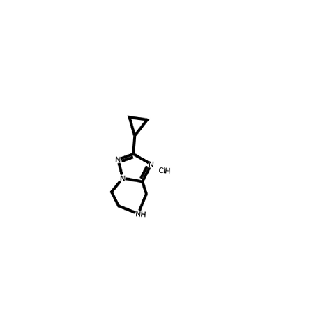 C1Cn2nc(C3CC3)nc2CN1.Cl